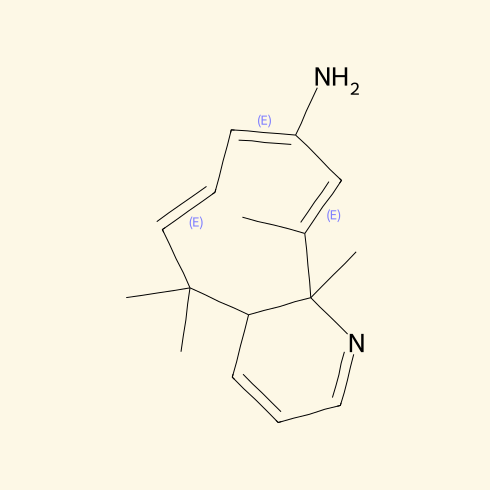 C\C1=C/C(N)=C\C=C\C(C)(C)C2C=CC=NC12C